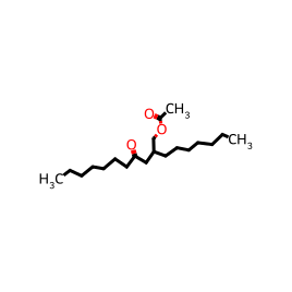 CCCCCCCC(=O)CC(CCCCCCC)COC(C)=O